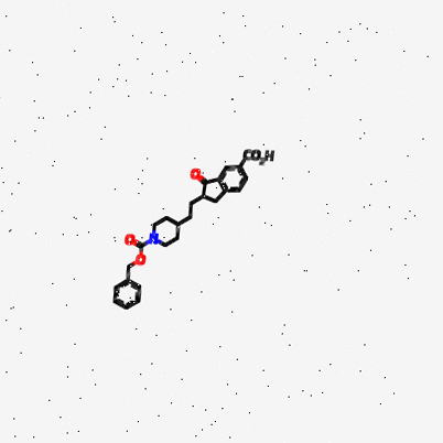 O=C(O)c1ccc2c(c1)C(=O)C(CCC1CCN(C(=O)OCc3ccccc3)CC1)C2